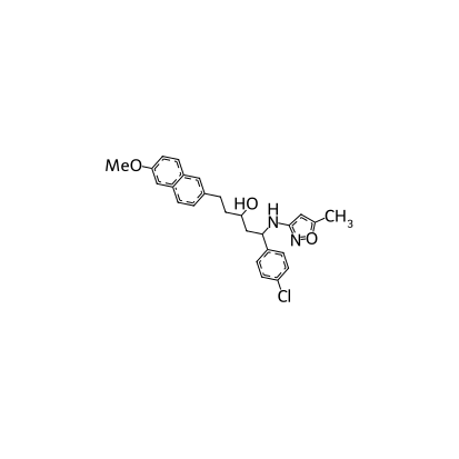 COc1ccc2cc(CCC(O)CC(Nc3cc(C)on3)c3ccc(Cl)cc3)ccc2c1